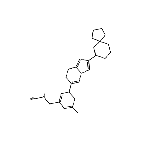 CCCNCC1=CC(C2=CC3C=C(C4CCCC5(CCCC5)C4)C=C3CC2)CC(C)=C1